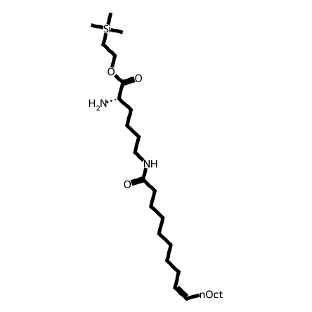 CCCCCCCC/C=C\CCCCCCCC(=O)NCCCC[C@H](N)C(=O)OCC[Si](C)(C)C